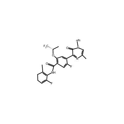 CCCn1cc(C)nc(-c2cc(O[C@@H](C)C(F)(F)F)c(C(=O)NC3=C(C)CCC=C3F)cc2F)c1=O